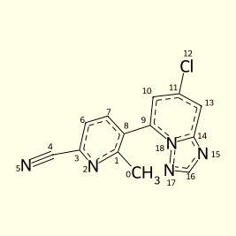 Cc1nc(C#N)ccc1-c1cc(Cl)cc2ncnn12